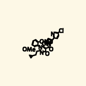 COc1cccc(OC)c1-n1c(CCC2CC2)nc(=O)c(C(=O)N2CC=C(c3ccc(Cl)cn3)C2)c1O